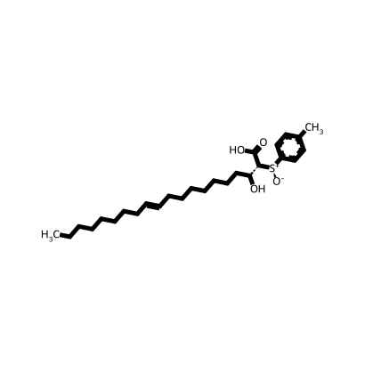 CCCCCCCCC=CCCCCCCCC(O)[C@H](C(=O)O)[S@@+]([O-])c1ccc(C)cc1